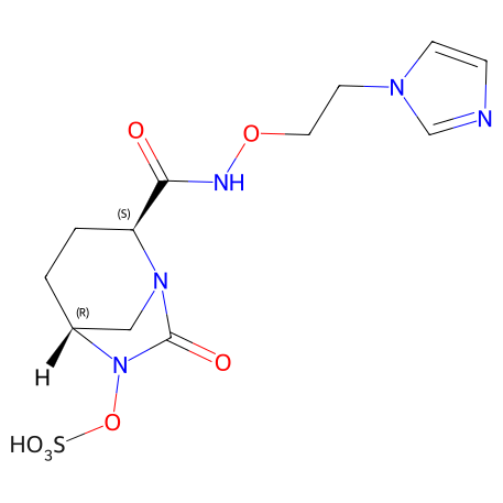 O=C(NOCCn1ccnc1)[C@@H]1CC[C@@H]2CN1C(=O)N2OS(=O)(=O)O